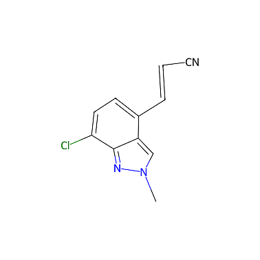 Cn1cc2c(C=CC#N)ccc(Cl)c2n1